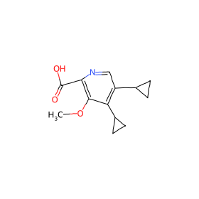 COc1c(C(=O)O)ncc(C2CC2)c1C1CC1